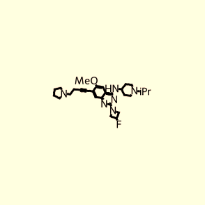 COc1cc2c(NC3CCN(C(C)C)CC3)nc(N3CC(F)C3)nc2cc1C#CCCN1CCCC1